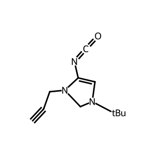 C#CCN1CN(C(C)(C)C)C=C1N=C=O